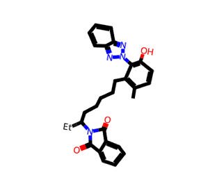 CCC(CCCCCc1c(C)ccc(O)c1-n1nc2ccccc2n1)N1C(=O)c2ccccc2C1=O